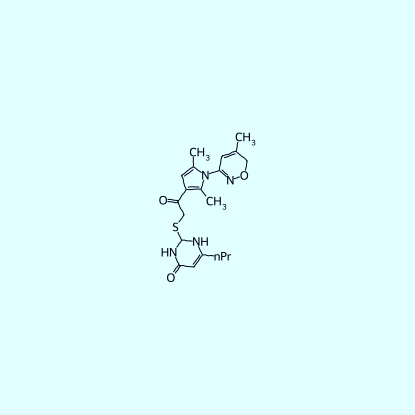 CCCC1=CC(=O)NC(SCC(=O)c2cc(C)n(C3=NOCC(C)=C3)c2C)N1